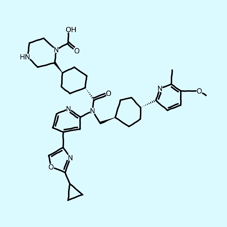 COc1ccc([C@H]2CC[C@H](CN(c3cc(-c4coc(C5CC5)n4)ccn3)C(=O)[C@H]3CC[C@H](C4CNCCN4C(=O)O)CC3)CC2)nc1C